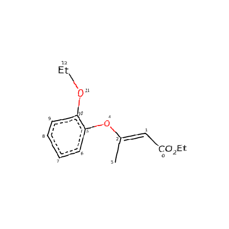 CCOC(=O)/C=C(\C)Oc1ccccc1OCC